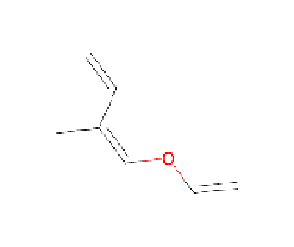 C=COC=C(C)C=C